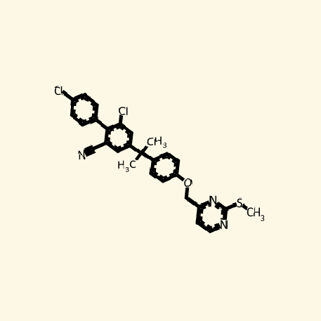 CSc1nccc(COc2ccc(C(C)(C)c3cc(Cl)c(-c4ccc(Cl)cc4)c(C#N)c3)cc2)n1